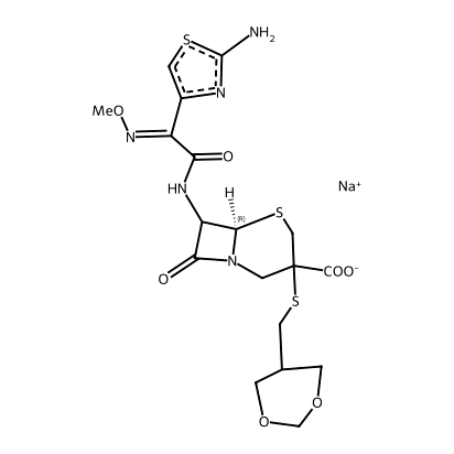 CON=C(C(=O)NC1C(=O)N2CC(SCC3COCOC3)(C(=O)[O-])CS[C@H]12)c1csc(N)n1.[Na+]